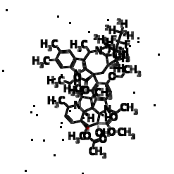 [2H]C([2H])([2H])C(F)(F)[C@@]1([2H])C([2H])([2H])N2C(C)c3c([nH]c4cc(C)c(C)cc34)[C@@](C(=O)OCC)(c3c(OCC)cc4c(c3C)C35[C@H](C)C(C)N6C(C)C=C[C@](CC)([C@H]63)[C@@H](OC(C)=O)[C@](O)(C(=O)OC)[C@@H]5N4CC)C[C@@]([2H])(C2([2H])C)C1([2H])[2H]